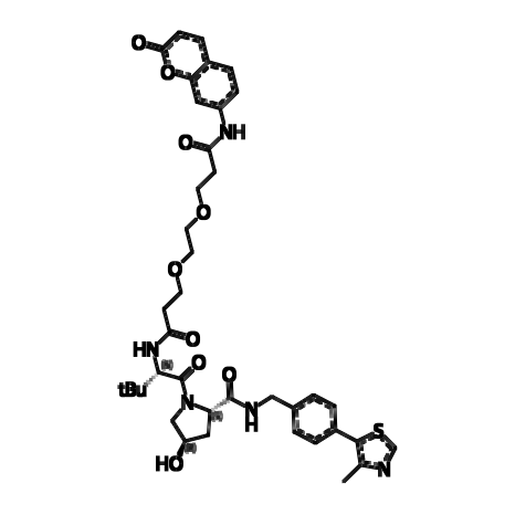 Cc1ncsc1-c1ccc(CNC(=O)[C@@H]2C[C@@H](O)CN2C(=O)[C@@H](NC(=O)CCOCCOCCC(=O)Nc2ccc3ccc(=O)oc3c2)C(C)(C)C)cc1